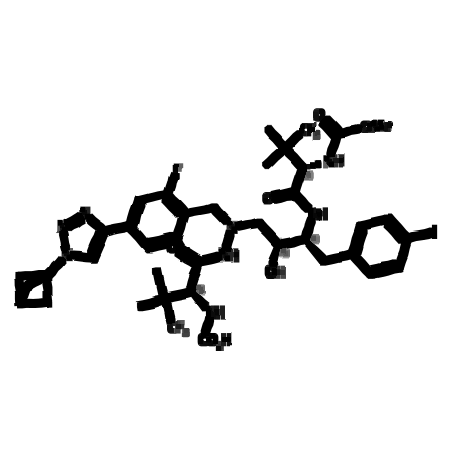 COC(=O)N[C@H](C(=O)N[C@@H](Cc1ccc(I)cc1)[C@@H](O)CN(Cc1c(F)cc(-c2cn(C34CC(C3)C4)nn2)cc1F)NC(=O)[C@@H](NC(=O)O)C(C)(C)C(F)(F)F)C(C)(C)C(F)(F)F